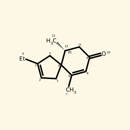 CCC1=CCC2(C1)C(C)=CC(=O)C[C@H]2C